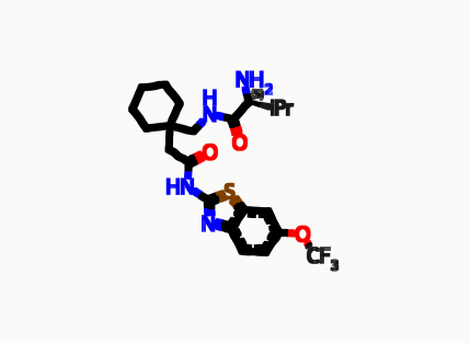 CC(C)[C@H](N)C(=O)NCC1(CC(=O)Nc2nc3ccc(OC(F)(F)F)cc3s2)CCCCC1